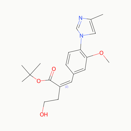 COc1cc(/C=C(/CCO)C(=O)OC(C)(C)C)ccc1-n1cnc(C)c1